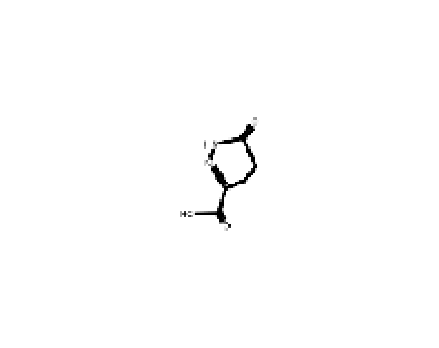 O=C1CCC(C(=O)O)=NN1